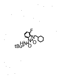 CC(C)(C)CNC(=O)n1c(=O)n(CC2CCCCC2)c2c(F)cccc21